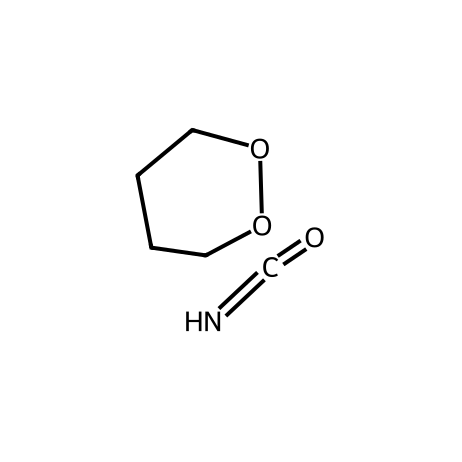 C1CCOOC1.N=C=O